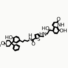 CN1CCC(c2ccccc2)(c2cc(CCCNC(=O)c3ccc(CNC[C@H](O)c4ccc(O)c5[nH]c(=O)ccc45)s3)ccc2O)CC1